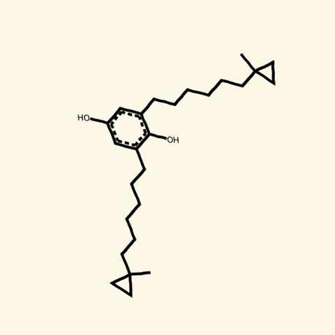 CC1(CCCCCCc2cc(O)cc(CCCCCCC3(C)CC3)c2O)CC1